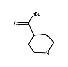 CCCCC(=O)C1CC[N]CC1